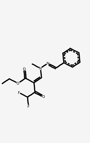 CCOC(=O)C(=CN(C)N=Cc1ccccc1)C(=O)C(F)F